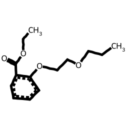 CCCOCCOc1ccccc1C(=O)OCC